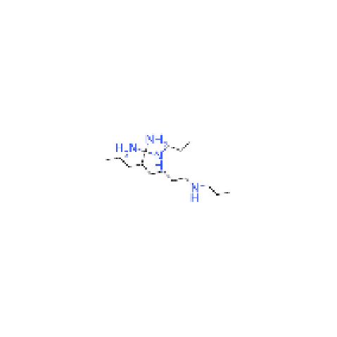 CCCNCCCCC(CCC)C(N)(N)NCCC